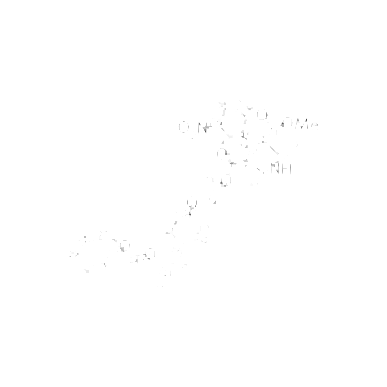 COC(=O)C1=C(C)NC(C)=C(C(=O)OCCOc2ccc(CC(C)OCOC3CCCCC3)cc2)[C@H]1c1cccc([N+](=O)[O-])c1